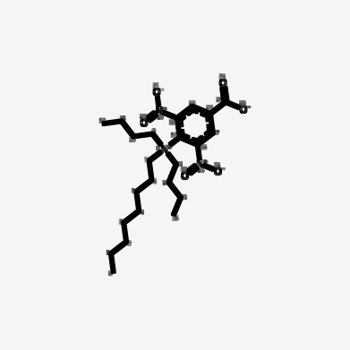 CCCCCCCC[N+](CCCC)(CCCC)c1c([N+](=O)[O-])cc(C(=O)[O-])cc1[N+](=O)[O-]